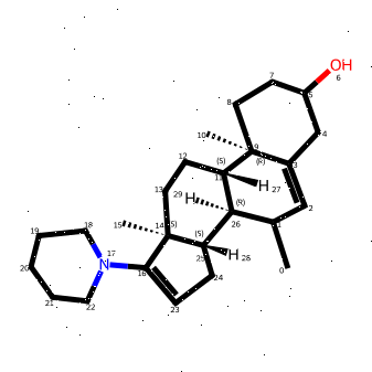 CC1C=C2CC(O)CC[C@]2(C)[C@H]2CC[C@]3(C)C(N4CCCCC4)=CC[C@H]3[C@H]12